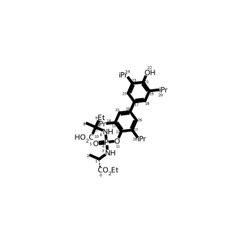 CCOC(=O)[C@H](C)NP(=O)(NC(C)(CC)C(=O)O)Oc1c(C(C)C)cc(-c2cc(C(C)C)c(O)c(C(C)C)c2)cc1C(C)C